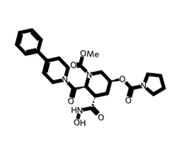 COC(=O)N1C[C@@H](OC(=O)N2CCCC2)C[C@H](C(=O)NO)[C@H]1C(=O)N1CC=C(c2ccccc2)CC1